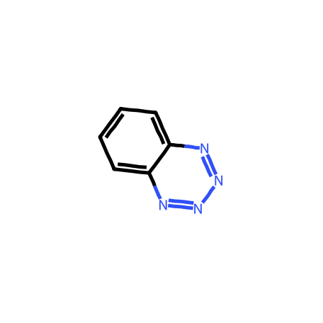 c1ccc2nnnnc2c1